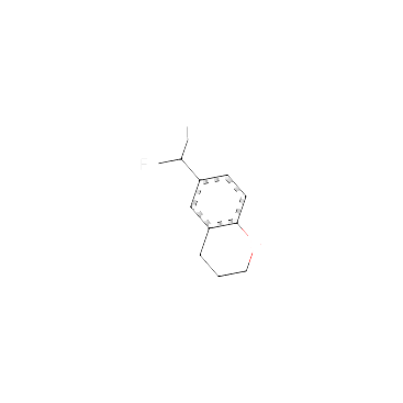 CCC(CC)c1ccc2c(c1)CCCO2